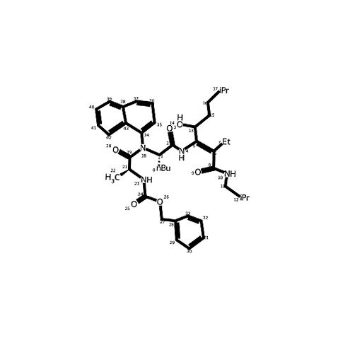 CCCC[C@@H](C(=O)N/C(=C(/CC)C(=O)NCC(C)C)C(O)CCC(C)C)N(C(=O)[C@H](C)NC(=O)OCc1ccccc1)c1cccc2ccccc12